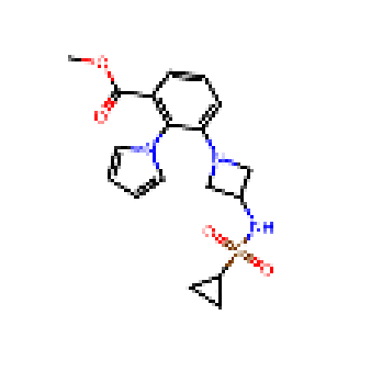 COC(=O)c1cccc(N2CC(NS(=O)(=O)C3CC3)C2)c1-n1cccc1